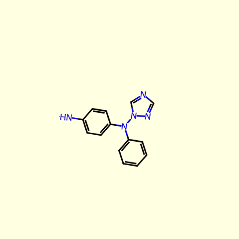 [NH]c1ccc(N(c2ccccc2)n2cncn2)cc1